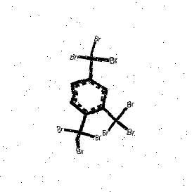 BrC(Br)(Br)c1[c]c(C(Br)(Br)Br)c(C(Br)(Br)Br)cc1